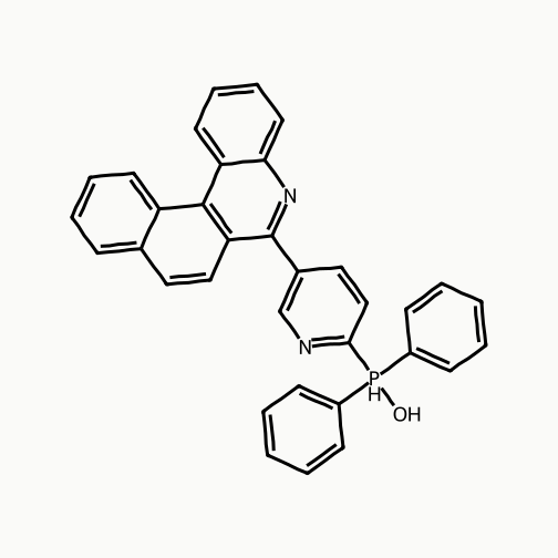 O[PH](c1ccccc1)(c1ccccc1)c1ccc(-c2nc3ccccc3c3c2ccc2ccccc23)cn1